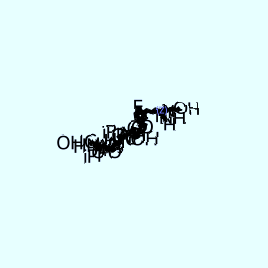 CC(C)C[C@H](NC(=O)CNC=O)C(=O)NCC(=O)N[C@@H](CC(C)C)C(=O)C(C)(O)COS(=O)c1ccc(F)c(CCC/C(=C/NCCO)N=N)c1